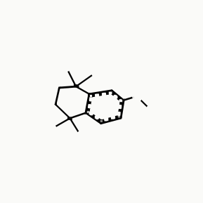 COc1[c]cc2c(c1)C(C)(C)CCC2(C)C